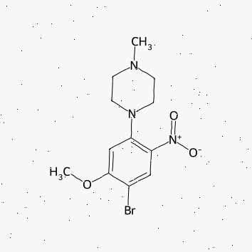 COc1cc(N2CCN(C)CC2)c([N+](=O)[O-])cc1Br